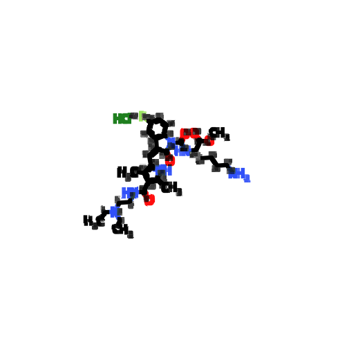 CCN(CC)CCNC(=O)c1c(C)[nH]c(/C=C2\C(=O)N(C(=O)N[C@@H](CCCCN)C(=O)OC)c3ccc(F)cc32)c1C.Cl